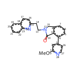 COc1cc(-c2cccc3c2C(=O)N(CCc2ccc4ccccc4n2)C3)ccn1